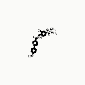 CCSc1ccc(-c2ccc(C(=O)NCc3ccc(S(=O)(=O)N(C)C)cc3Cl)cn2)cc1